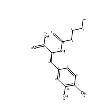 CCCCC(=O)N[C@@H](Cc1ccc(O)c(O)c1)C(=O)O